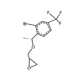 C[C@@H](OCC1CO1)c1ccc(C(F)(F)F)cc1Br